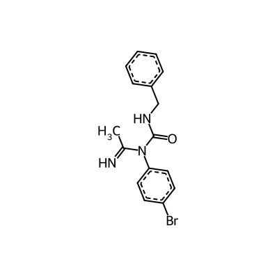 CC(=N)N(C(=O)NCc1ccccc1)c1ccc(Br)cc1